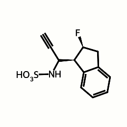 C#CC(NS(=O)(=O)O)[C@@H]1c2ccccc2C[C@@H]1F